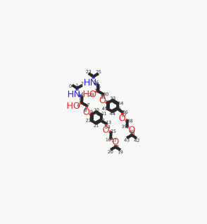 CC(C)NCC(O)COc1ccc(COCCOC(C)C)cc1.CC(C)NCC(O)COc1ccc(COCCOC(C)C)cc1